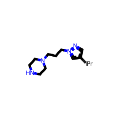 CC(C)c1cnn(CCCN2CCNCC2)c1